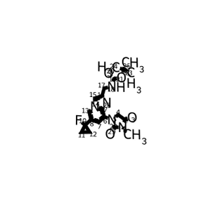 CN1C(=O)CN(c2cc(C3(F)CC3)cn3cc(CNC(=O)OC(C)(C)C)nc23)C1=O